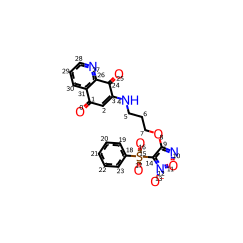 O=C1C=C(NCCCOc2no[n+]([O-])c2S(=O)(=O)c2ccccc2)C(=O)c2ncccc21